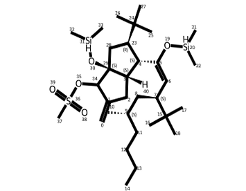 C=C1C[C@H]2[C@@H](C(=C[C@H](C[C@@H](C)CCCC)C(C)(C)C)O[SiH](C)C)[C@H](C(C)(C)C)C[C@@]2(O[SiH](C)C)C1OS(C)(=O)=O